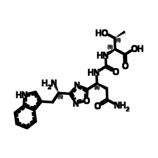 C[C@@H](O)[C@H](NC(=O)N[C@@H](CC(N)=O)c1nc([C@@H](N)Cc2c[nH]c3ccccc23)no1)C(=O)O